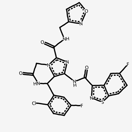 O=C1Cn2c(C(=O)NCc3ccon3)nc(NC(=O)c3nsc4ccc(F)cc34)c2C(c2cc(F)ccc2Cl)N1